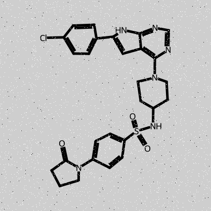 O=C1CCCN1c1ccc(S(=O)(=O)NC2CCN(c3ncnc4[nH]c(-c5ccc(Cl)cc5)cc34)CC2)cc1